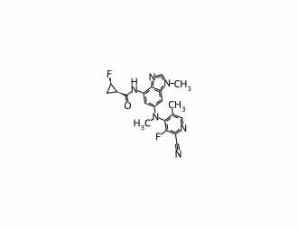 Cc1cnc(C#N)c(F)c1N(C)c1cc(NC(=O)[C@H]2C[C@H]2F)c2ncn(C)c2c1